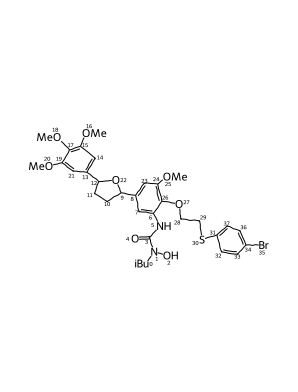 CCC(C)N(O)C(=O)Nc1cc(C2CCC(c3cc(OC)c(OC)c(OC)c3)O2)cc(OC)c1OCCSc1ccc(Br)cc1